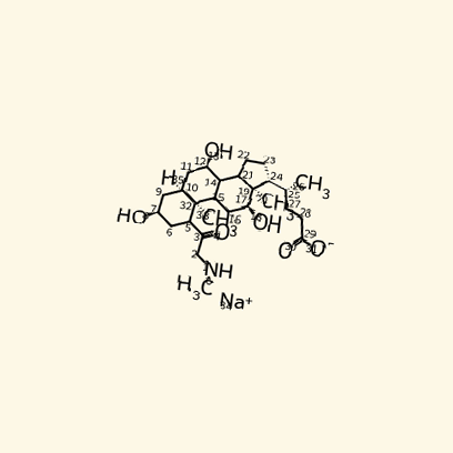 CNCC(=O)C1C[C@@H](O)C[C@H]2C[C@@H](O)C3C(C[C@H](O)[C@@]4(C)C3CC[C@@H]4[C@H](C)CCC(=O)[O-])[C@@]12C.[Na+]